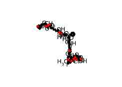 CCC(C)(C(=O)OCc1ccccc1)C1CC(=O)N(CCCCCC(=O)NCC(=O)NCC(=O)N[C@@H](Cc2ccccc2)C(=O)NCC(=O)NCOCCOCC(=O)N[C@H]2CCc3c(C)c(F)cc4nc5c(c2c34)Cn2c-5cc3c(c2=O)COC(=O)[C@]3(O)CC)C1=O